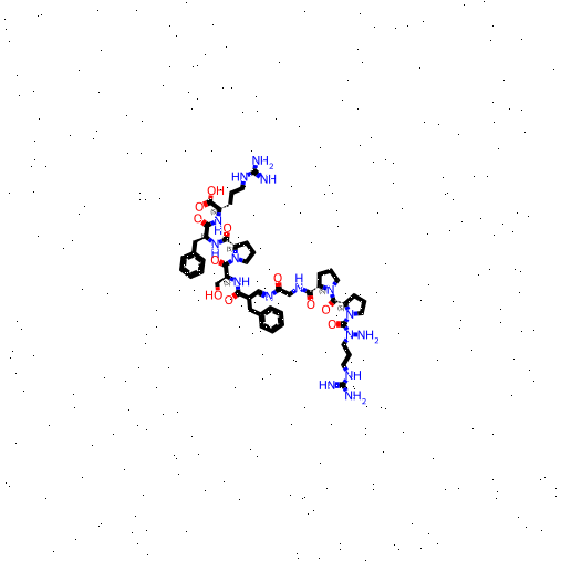 N=C(N)NCCC[C@H](NC(=O)[C@H](Cc1ccccc1)NC(=O)[C@@H]1CCCN1C(=O)[C@H](CO)NC(=O)C(C=NC(=O)CNC(=O)[C@@H]1CCCN1C(=O)[C@@H]1CCCN1C(=O)N(N)CCCNC(=N)N)Cc1ccccc1)C(=O)O